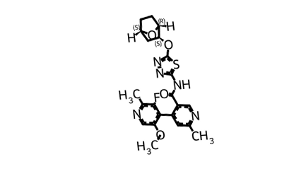 COc1cnc(C)c(F)c1-c1cc(C)ncc1C(=O)Nc1nnc(O[C@H]2C[C@@H]3CC[C@H]2O3)s1